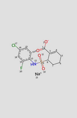 O=C([O-])C1=CCCCC1S(=O)(=O)Nc1ccc(Cl)cc1F.[Na+]